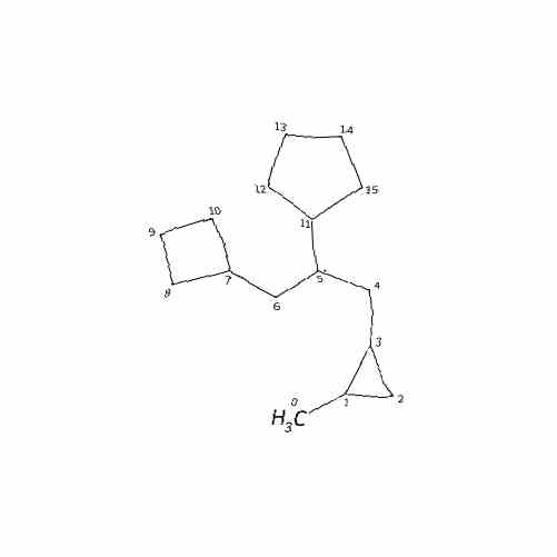 CC1CC1C[C](CC1CCC1)C1CCCC1